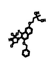 CC(O)(CO)CCOc1ccc2cc(OCc3ccccc3)c(N3CC(=O)NS3(=O)=O)c(F)c2c1